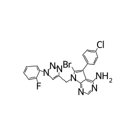 Nc1ncnc2c1c(-c1ccc(Cl)cc1)c(Br)n2Cc1cn(-c2ccccc2F)nn1